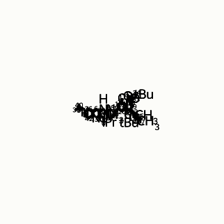 CC(C)Oc1nc2c(cc1Nc1nccc(-c3cc(C#N)c4c(c3)[C@@](C)(CO[Si](C)(C)C(C)(C)C)CN4C(=O)OC(C)(C)C)n1)CN(C1CC1)CC2